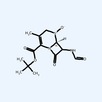 CC1=C(C(=O)OC(C)(C)C)N2C(=O)C(NC=O)[C@@H]2[S+]([O-])C1